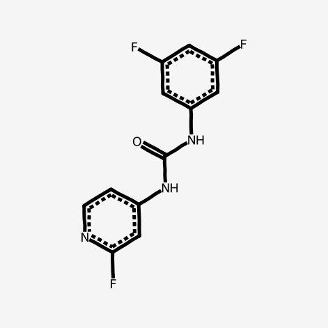 O=C(Nc1cc(F)cc(F)c1)Nc1ccnc(F)c1